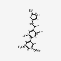 CCC1CC(NC(C)c2cc(F)c(-c3cc(C(F)(F)F)cc(OC)n3)cc2F)=CN1